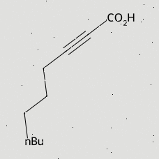 CCCCCCCC#CC(=O)O